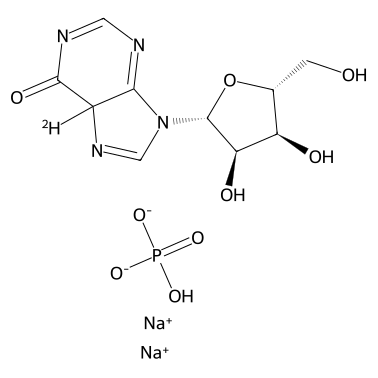 O=P([O-])([O-])O.[2H]C12N=CN([C@@H]3O[C@H](CO)[C@@H](O)[C@H]3O)C1=NC=NC2=O.[Na+].[Na+]